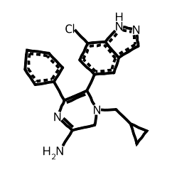 NC1=NC(c2ccccc2)=C(c2cc(Cl)c3[nH]ncc3c2)N(CC2CC2)C1